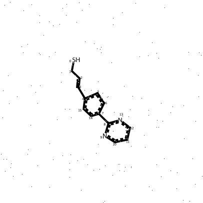 SC/C=C/c1ccc(-c2ncccn2)cc1